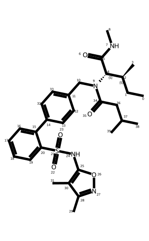 CC[C@H](C)[C@@H](C(=O)NC)N(Cc1ccc(-c2ccccc2S(=O)(=O)Nc2onc(C)c2C)cc1)C(=O)CC(C)C